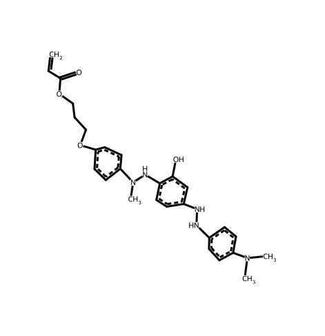 C=CC(=O)OCCCOc1ccc(N(C)Nc2ccc(NNc3ccc(N(C)C)cc3)cc2O)cc1